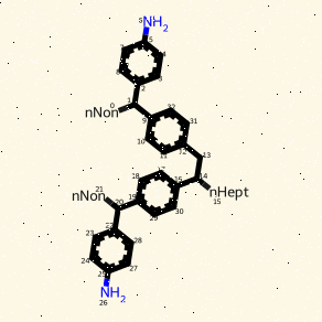 CCCCCCCCCC(c1ccc(N)cc1)c1ccc(CC(CCCCCCC)c2ccc(C(CCCCCCCCC)c3ccc(N)cc3)cc2)cc1